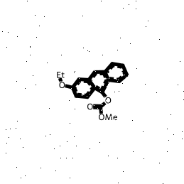 CCOc1ccc2c(OC(=O)OC)c3ccccc3cc2c1